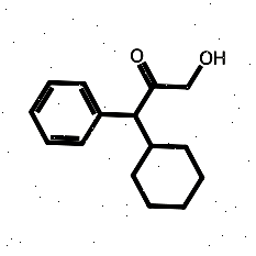 O=C(CO)C(c1ccccc1)C1CCCCC1